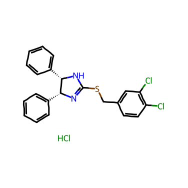 Cl.Clc1ccc(CSC2=N[C@H](c3ccccc3)[C@H](c3ccccc3)N2)cc1Cl